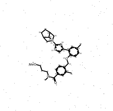 COCCCN(C)C(=O)c1ccc(COc2ccc(C)cc2-c2csc(N3CC4CCC(C3)C4C)n2)c(C)c1